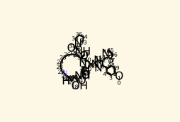 COc1ccc(-c2nn([C@@H]3C[C@H]4C(=O)N[C@]5(C(=O)O)C[C@H]5/C=C\CCCCC[C@H](NC(=O)N5CCCC5)C(=O)N4C3)nc2-c2nccs2)cc1